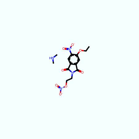 CCOc1cc2c(cc1[N+](=O)[O-])C(=O)N(CCO[N+](=O)[O-])C2=O.CNC